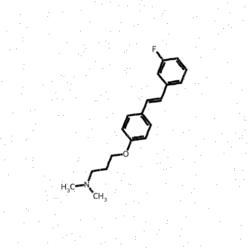 CN(C)CCCOc1ccc(C=Cc2cccc(F)c2)cc1